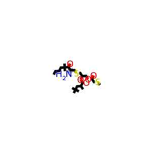 CCCCC(C)(C)C(=O)[C@@H](N)CSCC(COC(=O)CSC)OC(=O)C(C)CC(C)(C)C